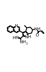 C=CC(=O)NC1Cc2[nH]c(C(=N)N)c(-c3cnc4ccccc4c3)c2C(C)C1